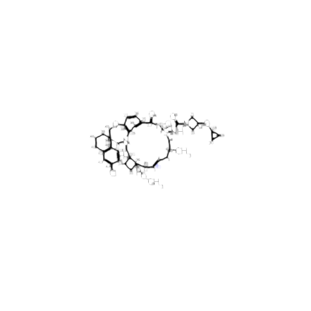 CO[C@H]1/C=C/C[C@H](C)CS(=O)(NC(=O)N2CC(OC3CC3)C2)=NC(=O)c2ccc3c(c2)N(C[C@@H]2CC[C@H]21)C[C@@]1(CCCc2cc(Cl)ccc21)CO3